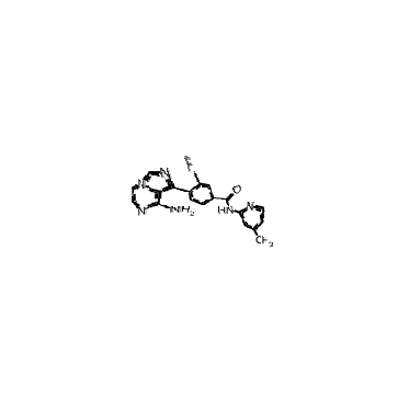 Nc1nccn2cnc(-c3ccc(C(=O)Nc4cc(C(F)(F)F)ccn4)cc3F)c12